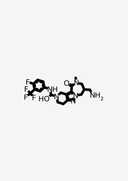 CN1CC(CN)Cn2nc3c(c2C1=O)CN(C(O)Nc1ccc(F)c(C(F)(F)F)c1)CC3